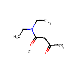 CCN(CC)C(=O)CC(C)=O.[Zr]